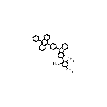 Cc1cc(C)c(-c2ccc3c(c2)c2ccccc2n3-c2ccc(-c3c4ccccc4c(-c4ccccc4)c4ccccc34)cc2)c(C)c1